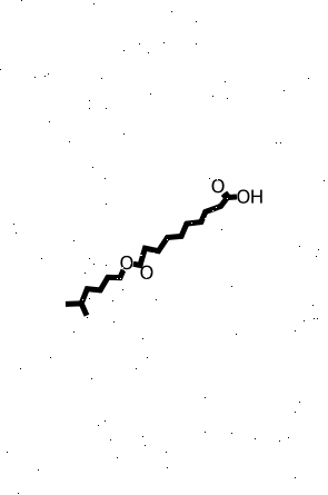 CC(C)CCCCOC(=O)CCCCCCCCC(=O)O